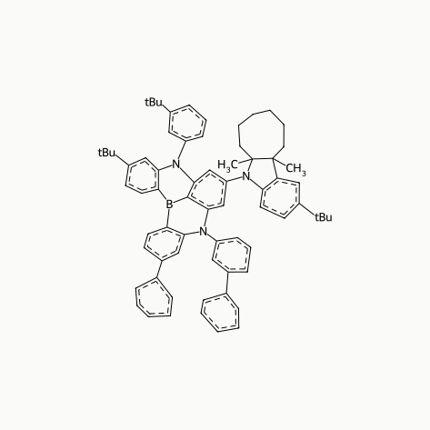 CC(C)(C)c1cccc(N2c3cc(C(C)(C)C)ccc3B3c4ccc(-c5ccccc5)cc4N(c4cccc(-c5ccccc5)c4)c4cc(N5c6ccc(C(C)(C)C)cc6C6(C)CCCCCCC56C)cc2c43)c1